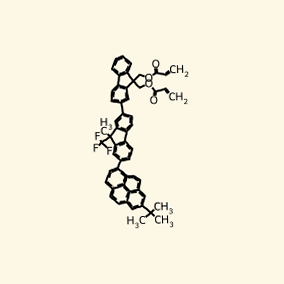 C=CC(=O)OCC1(COC(=O)C=C)c2ccccc2-c2ccc(-c3ccc4c(c3)C(C)(C(F)(F)F)c3cc(-c5ccc6ccc7cc(C(C)(C)C)cc8ccc5c6c78)ccc3-4)cc21